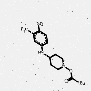 CC(C)(C)C(=O)ON1CCC(Nc2ccc(N=O)c(C(F)(F)F)c2)CC1